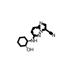 N#Cc1cnc2ccc(N[C@@H]3CCCC[C@H]3O)nn12